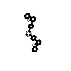 c1ccc2c(c1)oc1c(-c3ccc(-c4ncnc(-c5ccc(-c6cccc7c6oc6ccccc67)cc5)n4)cc3)cccc12